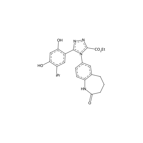 CCOC(=O)c1nnc(-c2cc(C(C)C)c(O)cc2O)n1-c1ccc2c(c1)CCCC(=O)N2